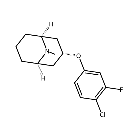 CN1[C@@H]2CCC[C@H]1C[C@H](Oc1ccc(Cl)c(F)c1)C2